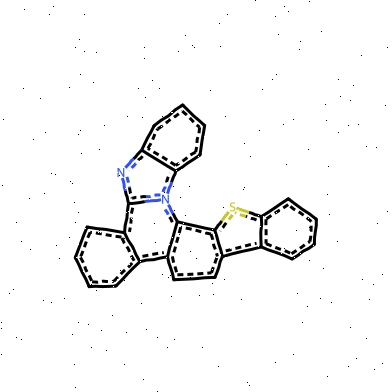 c1ccc2c(c1)nc1c3ccccc3c3ccc4c5ccccc5sc4c3n21